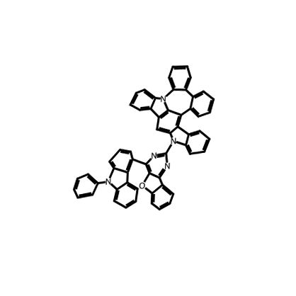 c1ccc(-n2c3ccccc3c3c(-c4nc(-n5c6ccccc6c6c7c8c(cc65)c5ccccc5n8-c5ccccc5-c5ccccc5-7)nc5c4oc4ccccc45)cccc32)cc1